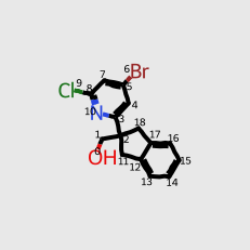 OCC1(c2cc(Br)cc(Cl)n2)Cc2ccccc2C1